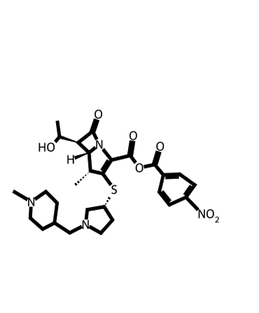 CC(O)[C@H]1C(=O)N2C(C(=O)OC(=O)c3ccc([N+](=O)[O-])cc3)=C(S[C@@H]3CCN(CC4CCN(C)CC4)C3)[C@H](C)[C@H]12